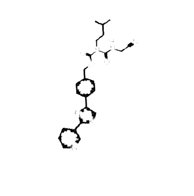 CC(C)CCN(C(=O)NCC#N)C(=O)OCc1ccc(-c2csc(-c3cccnc3)n2)cc1